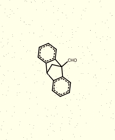 O=CC12CC(c3ccccc31)c1ccccc12